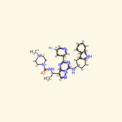 C[C@@H](NC(=O)N1CCN(C)CC1)c1cnn2c(N[C@@H]3CCc4[nH]c5ccccc5c4C3)nc(-c3cncc(F)c3)nc12